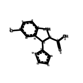 O=C(O)C1Nc2ccc(Cl)cc2C1c1cccs1